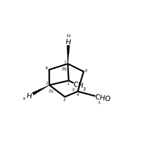 CC1[C@@H]2CC(C=O)C[C@H]1C2